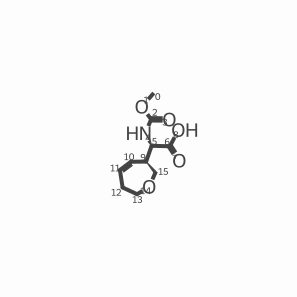 COC(=O)N[C@@H](C(=O)O)[C@@H]1C=CCCOC1